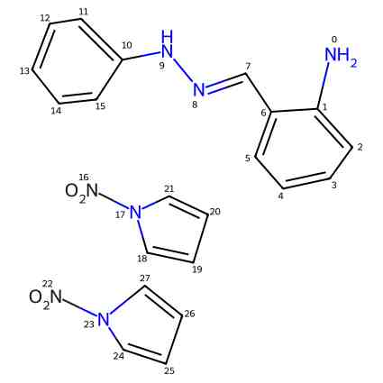 Nc1ccccc1C=NNc1ccccc1.O=[N+]([O-])n1cccc1.O=[N+]([O-])n1cccc1